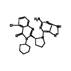 Nc1nc(N2CCC[C@H]2c2nc3cccc(Cl)c3c(=O)n2C2CCCCC2)c2nc[nH]c2n1